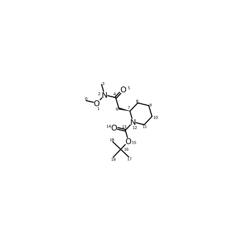 CON(C)C(=O)C[C@H]1CCCCN1C(=O)OC(C)(C)C